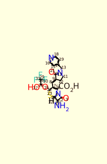 N[C@@H]1C(=O)N2C(C(=O)O)=C(C=C3CCN(Cc4ccncc4)C3=O)CS[C@H]12.O=C(O)C(F)(F)F